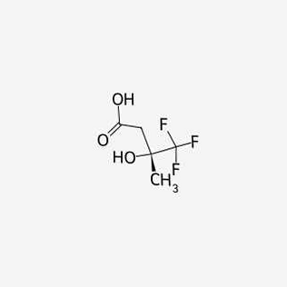 C[C@@](O)(CC(=O)O)C(F)(F)F